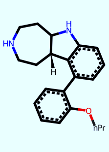 CCCOc1ccccc1-c1cccc2c1[C@@H]1CCNCCC1N2